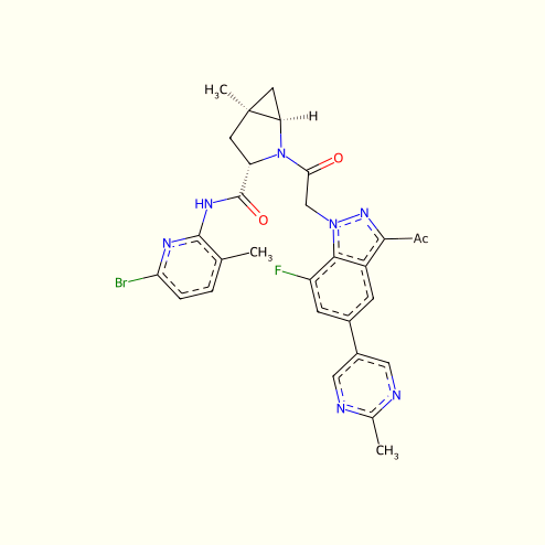 CC(=O)c1nn(CC(=O)N2[C@H](C(=O)Nc3nc(Br)ccc3C)C[C@@]3(C)C[C@@H]23)c2c(F)cc(-c3cnc(C)nc3)cc12